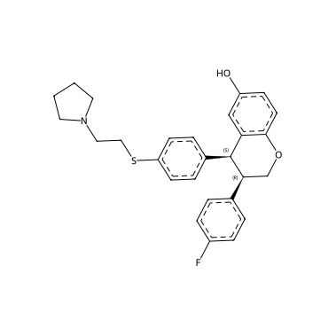 Oc1ccc2c(c1)[C@H](c1ccc(SCCN3CCCC3)cc1)[C@H](c1ccc(F)cc1)CO2